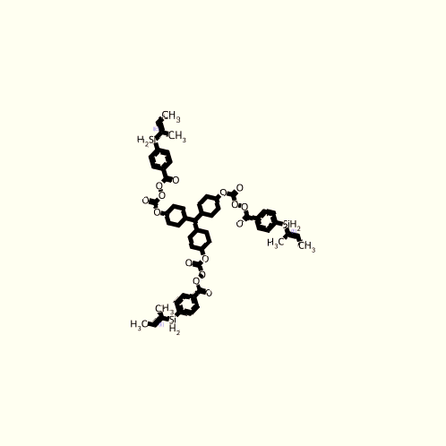 C/C=C(\C)[SiH2]c1ccc(C(=O)OOC(=O)OC2CCC(C(C3CCC(OC(=O)OOC(=O)c4ccc([SiH2]/C(C)=C/C)cc4)CC3)C3CCC(OC(=O)OOC(=O)c4ccc([SiH2]/C(C)=C/C)cc4)CC3)CC2)cc1